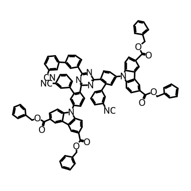 [C-]#[N+]c1cccc(-c2cc(-n3c4ccc(C(=O)OCc5ccccc5)cc4c4cc(C(=O)OCc5ccccc5)ccc43)ccc2-c2nc(-c3cccc(-c4cccc(C#N)c4)c3)nc(-c3ccc(-n4c5ccc(C(=O)OCc6ccccc6)cc5c5cc(C(=O)OCc6ccccc6)ccc54)cc3-c3cccc(C#N)c3)n2)c1